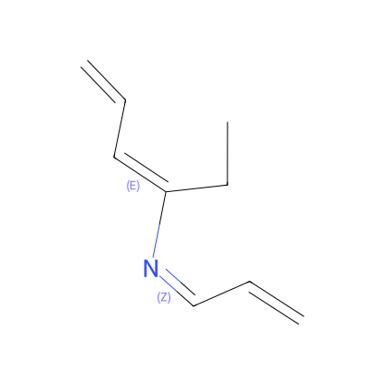 C=C/C=N\C(=C\C=C)CC